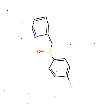 [O-][S+](Cc1ccccn1)c1ccc(F)cc1